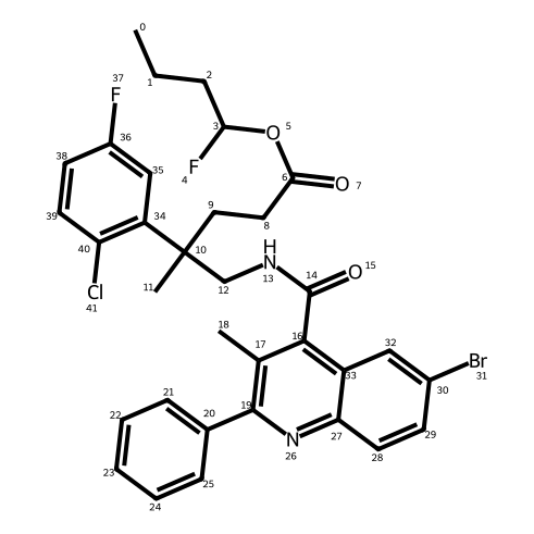 CCCC(F)OC(=O)CCC(C)(CNC(=O)c1c(C)c(-c2ccccc2)nc2ccc(Br)cc12)c1cc(F)ccc1Cl